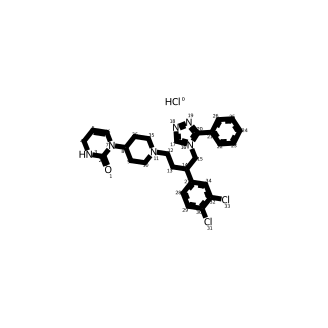 Cl.O=C1NCC=CN1C1CCN(CCC(Cn2cnnc2-c2ccccc2)c2ccc(Cl)c(Cl)c2)CC1